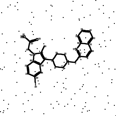 Cc1c(C2CCN(Cc3ccc4ccccc4n3)CC2)c2cc(I)ccc2n1CC(=O)O